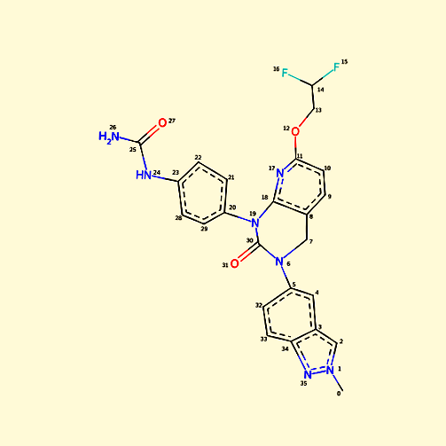 Cn1cc2cc(N3Cc4ccc(OCC(F)F)nc4N(c4ccc(NC(N)=O)cc4)C3=O)ccc2n1